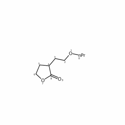 CCCOCCC1CCOC1=O